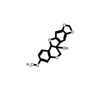 COc1ccc2c(c1)OCC1(O)c3cc4c(cc3OC21)OCO4